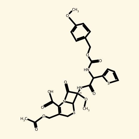 COc1ccc(COC(=O)NC(C(=O)N[C@]2(OC)C(=O)N3C(C(=O)O)=C(COC(C)=O)CSC32)c2cccs2)cc1